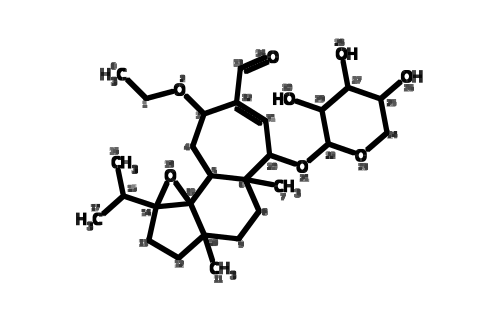 CCOC1CC2C(C)(CCC3(C)CCC4(C(C)C)OC234)C(OC2OCC(O)C(O)C2O)C=C1C=O